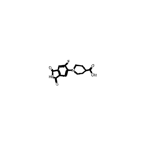 O=C1NC(=O)c2cc(N3CCC(C(=O)O)CC3)c(F)cc21